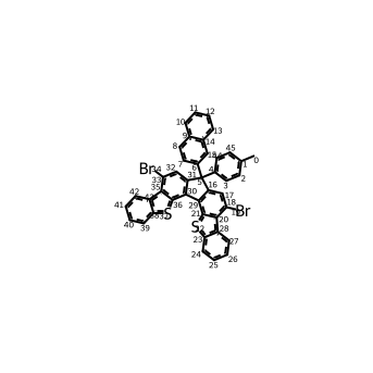 Cc1ccc(C2(c3ccc4ccccc4c3)c3cc(Br)c4c(sc5ccccc54)c3-c3c2cc(Br)c2c3sc3ccccc32)cc1